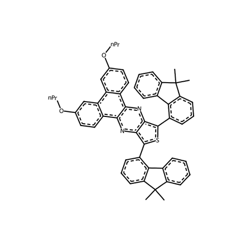 CCCOc1ccc2c(c1)c1cc(OCCC)ccc1c1nc3c(-c4cccc5c4-c4ccccc4C5(C)C)sc(-c4cccc5c4-c4ccccc4C5(C)C)c3nc21